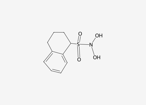 O=S(=O)(C1CCCc2ccccc21)N(O)O